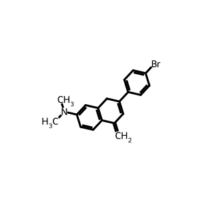 C=C1C=C(c2ccc(Br)cc2)Cc2cc(N(C)C)ccc21